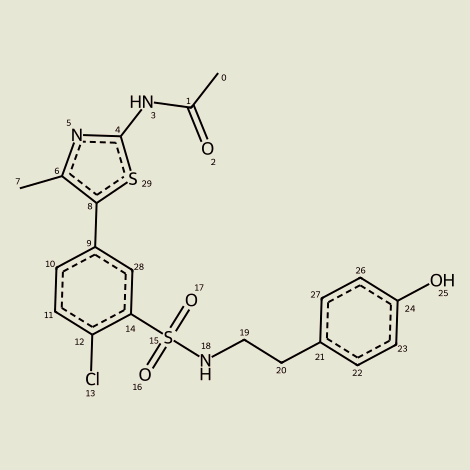 CC(=O)Nc1nc(C)c(-c2ccc(Cl)c(S(=O)(=O)NCCc3ccc(O)cc3)c2)s1